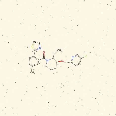 CCC1[C@@H](OCc2ccc(F)cn2)CCCN1C(=O)c1cc(C)ccc1-c1nccs1